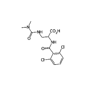 CN(C)C(=O)NCC(NC(=O)c1c(Cl)cccc1Cl)C(=O)O